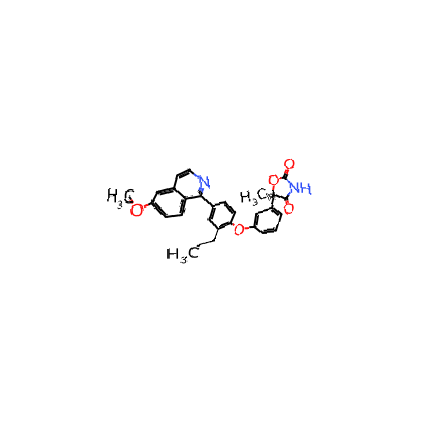 CCCc1cc(-c2nccc3cc(OC)ccc23)ccc1Oc1cccc([C@@]2(C)OC(=O)NC2=O)c1